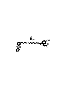 CC(=O)O.O=c1ccc2c([C@@H](O)CNCCCCCCOCCCCc3cccc(S(=O)(=O)C4CCCC4)c3)ccc(O)c2[nH]1